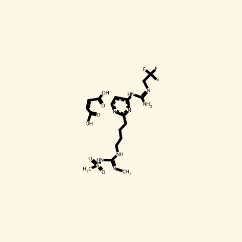 C/N=C(\NCCCCc1nccc(N/C(N)=N\CC(F)(F)F)n1)NS(C)(=O)=O.O=C(O)/C=C\C(=O)O